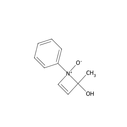 CC1(O)C=C[N+]1([O-])c1ccccc1